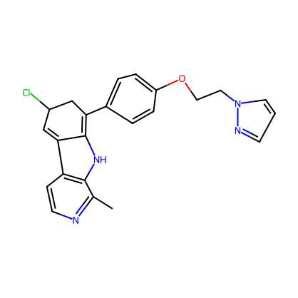 Cc1nccc2c3c([nH]c12)=C(c1ccc(OCCn2cccn2)cc1)CC(Cl)C=3